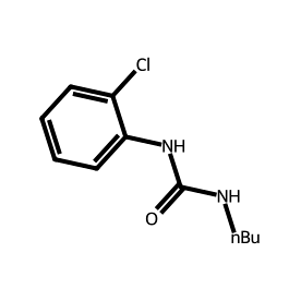 CCCCNC(=O)Nc1ccccc1Cl